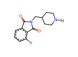 [2H]N1CCC(CN2C(=O)c3cccc(F)c3C2=O)CC1